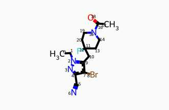 CCn1nc(C#N)c(Br)c1CC1(F)CCN(C(C)=O)CC1